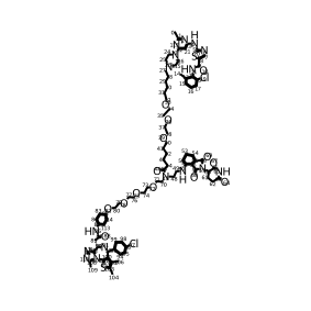 Cc1nc(Nc2ncc(C(=O)Nc3c(C)cccc3Cl)s2)cc(N2CCN(CCCCCCOCCOCCOCCCCCC(=O)N(CCNc3cccc4c3C(=O)N(C3CCC(=O)NC3=O)C4=O)CCOCCOCCOCCOc3ccc(NC(=O)C[C@@H]4N=C(c5ccc(Cl)cc5)c5c(sc(C)c5C)-n5c(C)nnc54)cc3)CC2)n1